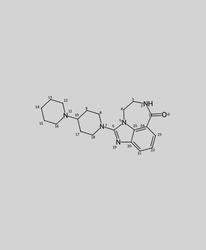 O=C1NCCn2c(N3CCC(N4CCCCC4)CC3)nc3cccc1c32